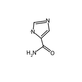 NC(=O)C1=CN=C[N]1